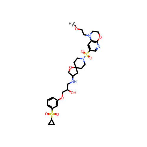 COCCN1CCOc2ncc(S(=O)(=O)N3CCC4(CC3)CC(NCC(O)COc3cccc(S(=O)(=O)C5CC5)c3)CO4)cc21